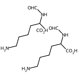 NCCCCC(NC=O)C(=O)O.NCCCCC(NC=O)C(=O)O